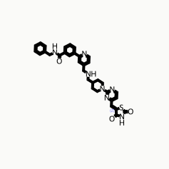 O=C1NC(=O)/C(=C/c2ccnc(N3CCC(CNCc4ccnc(-c5cccc(C(=O)NCc6ccccc6)c5)c4)CC3)n2)S1